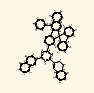 C1=C(c2nc(-c3ccc4c(c3)C3(c5ccccc5-c5ccccc53)c3cc5ccccc5c(-c5ccccc5)c3-4)nc(-c3ccc4ccccc4c3)n2)CCc2ccccc21